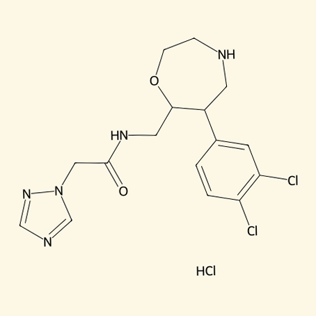 Cl.O=C(Cn1cncn1)NCC1OCCNCC1c1ccc(Cl)c(Cl)c1